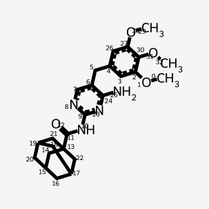 COc1cc(Cc2cnc(NC(=O)C34CC5CC(CC(C5)C3)C4)nc2N)cc(OC)c1OC